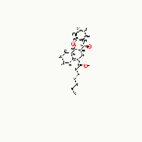 CCCCCCC(=O)CCC1C(=O)c2ccccc2OC1C1CCCCC1